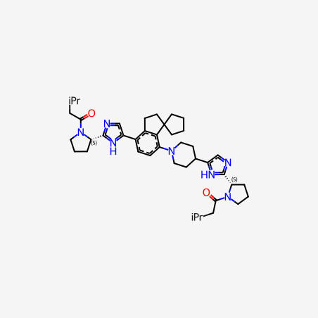 CC(C)CC(=O)N1CCC[C@H]1c1ncc(-c2ccc(N3CCC(c4cnc([C@@H]5CCCN5C(=O)CC(C)C)[nH]4)CC3)c3c2CCC32CCCC2)[nH]1